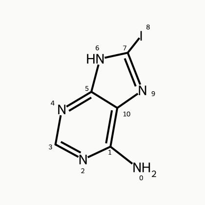 Nc1ncnc2[nH]c(I)nc12